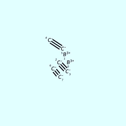 [B+3].[B+3].[C-]#[C-].[C-]#[C-].[C-]#[C-]